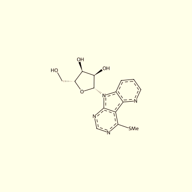 CSc1ncnc2c1c1ncccc1n2[C@@H]1O[C@H](CO)[C@@H](O)[C@H]1O